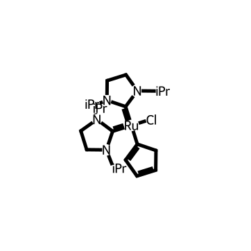 CC(C)N1CCN(C(C)C)[C]1=[Ru]([Cl])([C]1=CC=CC1)=[C]1N(C(C)C)CCN1C(C)C